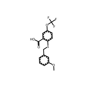 COc1cccc(CSc2ccc(OC(F)(F)F)cc2C(=O)O)c1